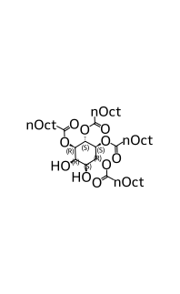 CCCCCCCCC(=O)O[C@@H]1[C@@H](OC(=O)CCCCCCCC)[C@H](OC(=O)CCCCCCCC)[C@@H](O)[C@@H](O)[C@H]1OC(=O)CCCCCCCC